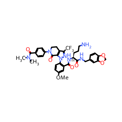 COc1ccc(-n2nc(C(F)(F)F)c3c2C(=O)N(c2ccc(C(=O)N(C)C)cc2)CC3)c(C(=O)N[C@@H](CCCN)C(=O)NCc2ccc3c(c2)OCO3)c1